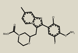 COC(=O)N1CCOC(Cc2c(-c3cc(F)c(SN)cc3Cl)nc3cc(C)ccn23)C1